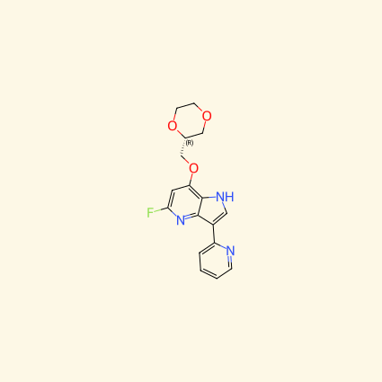 Fc1cc(OC[C@H]2COCCO2)c2[nH]cc(-c3ccccn3)c2n1